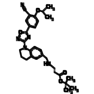 CC(C)Oc1ccc(-c2nc(N3CCCc4cc(CNCCC(=O)OC(C)(C)C)ccc43)no2)cc1C#N